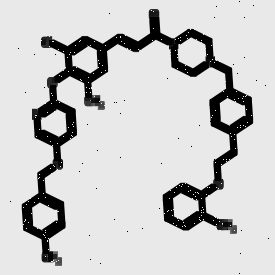 Cc1ccc(COc2ccc(Oc3c(C)cc(C=CC(=O)N4CCN(Cc5ccc(CCOc6ccccc6C)cc5)CC4)cc3Cl)nc2)cc1